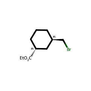 CCOC(=O)[C@@H]1CCC[C@@H](CBr)C1